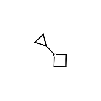 C1CP(C2CC2)C1